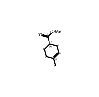 COC(=O)[C@H]1CC=C(C)CC1